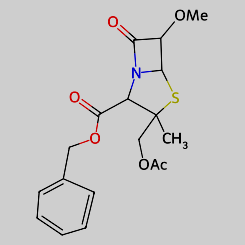 COC1C(=O)N2C1SC(C)(COC(C)=O)C2C(=O)OCc1ccccc1